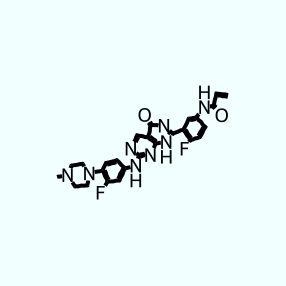 C=CC(=O)Nc1ccc(F)c(-c2nc(=O)c3cnc(Nc4ccc(N5CCN(C)CC5)c(F)c4)nc3[nH]2)c1